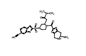 C#Cc1ccc2cc(S(=O)(=O)N3CCN(C(=O)c4nc5c(s4)CNC(N)C5)C(CC(=O)N(C)C)C3)sc2c1